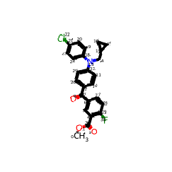 COC(=O)c1cc(C(=O)c2ccc(N(CC3CC3)c3ccc(Cl)cc3)cc2)ccc1F